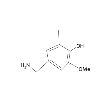 COc1cc(CN)cc(C)c1O